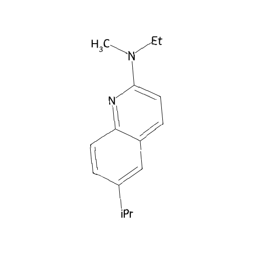 CCN(C)c1ccc2cc(C(C)C)ccc2n1